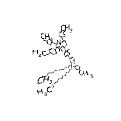 CCCCCCCCCCCCC1(CCCCCCCCCCCC)c2cc(C)ccc2-c2ccc(-c3ccc(-c4ccc(-c5ccc(C)s5)c5nc(-c6ccc(CC)cc6)c(-c6ccc(CC)cc6)nc45)s3)cc21